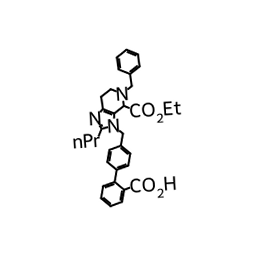 CCCc1nc2c(n1Cc1ccc(-c3ccccc3C(=O)O)cc1)C(C(=O)OCC)N(Cc1ccccc1)CC2